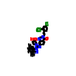 C[C@H]1C(NC(=Nc2ccc3c(=O)n(CCc4ccc(Cl)cc4Cl)cnc3c2)N2CC[C@@H](O)C2)C[C@H]2C[C@H]1C2(C)C